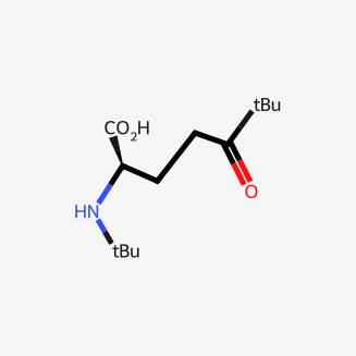 CC(C)(C)N[C@H](CCC(=O)C(C)(C)C)C(=O)O